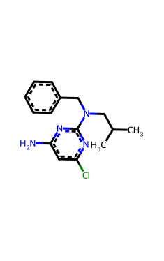 CC(C)CN(Cc1ccccc1)c1nc(N)cc(Cl)n1